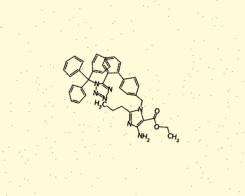 CCCc1nc(N)c(C(=O)OCC)n1Cc1ccc(-c2ccccc2-c2nnnn2C(c2ccccc2)(c2ccccc2)c2ccccc2)cc1